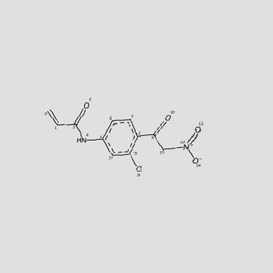 C=CC(=O)Nc1ccc(C(=O)C[N+](=O)[O-])c(Cl)c1